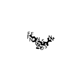 CCS(=O)(=O)c1c(-c2nc3cc(C(F)(F)F)ncc3n2C)sc2c(-c3cnn(C)c3)csc12